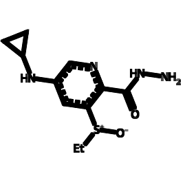 CC[S+]([O-])c1cc(NC2CC2)cnc1C(=O)NN